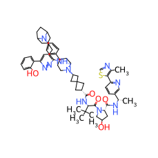 Cc1ncsc1-c1ccc([C@H](C)NC(=O)[C@@H]2C[C@@H](O)CN2C(=O)[C@@H](NC(=O)[C@H]2CC3(C2)C[C@H](N2CCC(c4ccc(N5C6CCC5CC(Cc5cc(-c7ccccc7O)nnc5N)C6)cc4)CC2)C3)C(C)(C)C)cn1